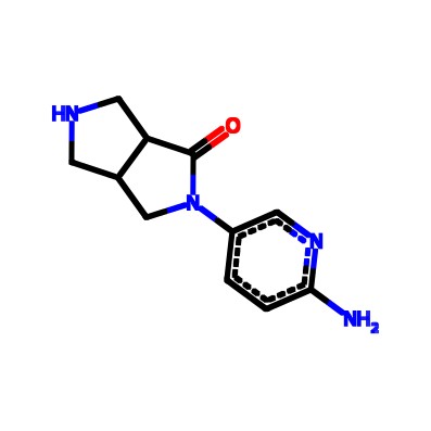 Nc1ccc(N2CC3CNCC3C2=O)cn1